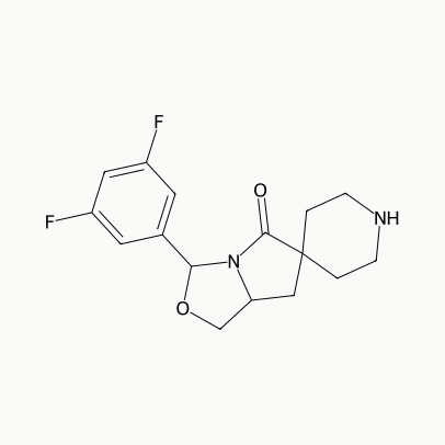 O=C1N2C(COC2c2cc(F)cc(F)c2)CC12CCNCC2